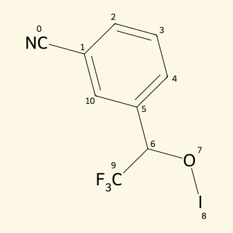 N#Cc1cccc(C(OI)C(F)(F)F)c1